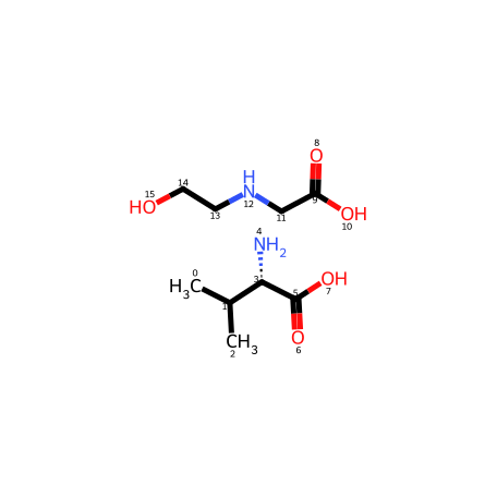 CC(C)[C@H](N)C(=O)O.O=C(O)CNCCO